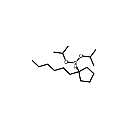 CCCCCCC1([SiH](OC(C)C)OC(C)C)CCCC1